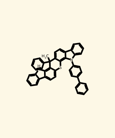 CC1(c2ccccc2)c2ccc3c4ccccc4n(-c4ccc(-c5ccccc5)cc4)c3c2Sc2ccc3c([nH]c4ccccc43)c21